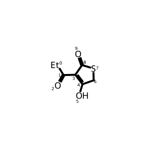 CCC(=O)C1=C(O)CSC1=O